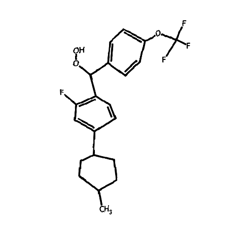 CC1CCC(c2ccc(C(OO)c3ccc(OC(F)(F)F)cc3)c(F)c2)CC1